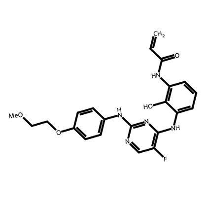 C=CC(=O)Nc1cccc(Nc2nc(Nc3ccc(OCCOC)cc3)ncc2F)c1O